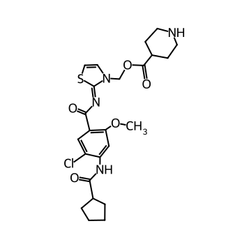 COc1cc(NC(=O)C2CCCC2)c(Cl)cc1C(=O)N=c1sccn1COC(=O)C1CCNCC1